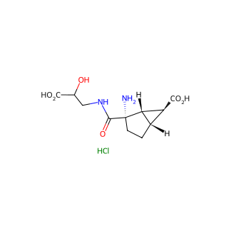 Cl.N[C@@]1(C(=O)NCC(O)C(=O)O)CC[C@H]2[C@H](C(=O)O)[C@H]21